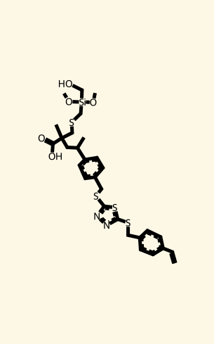 C=Cc1ccc(CSc2nnc(SCc3ccc(C(C)CC(C)(CSC[Si](CO)(OC)OC)C(=O)O)cc3)s2)cc1